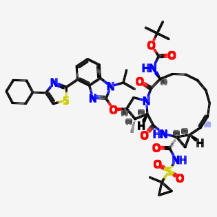 CC(C)n1c(O[C@H]2CN3C(=O)[C@@H](NC(=O)OC(C)(C)C)CCCCC/C=C\[C@@H]4C[C@@]4(C(=O)NS(=O)(=O)C4(C)CC4)NC(=O)[C@@H]3[C@@H]2C)nc2c(-c3nc(C4CCCCC4)cs3)cccc21